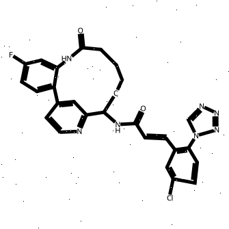 O=C(C=Cc1cc(Cl)ccc1-n1cnnn1)NC1CCCCC(=O)Nc2cc(F)ccc2-c2ccnc1c2